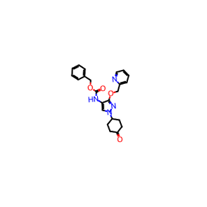 O=C1CCC(n2cc(NC(=O)OCc3ccccc3)c(OCc3ccccn3)n2)CC1